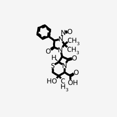 CC1(O)CS[C@H]2C(N3C(=O)C(c4ccccc4)N(N=O)C3(C)C)C(=O)N2C1C(=O)O